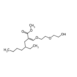 CCCCC(CC)CC(=COCCOCCO)C(=O)OC